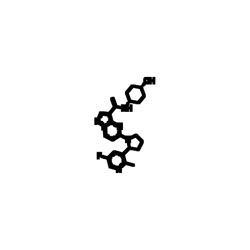 C=C(N[C@H]1CC[C@@H](O)CC1)c1cnn2ccc(N3CCCC3c3cc(F)cnc3C)nc12